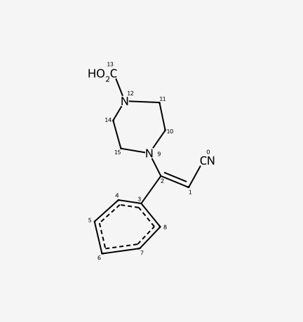 N#CC=C(c1ccccc1)N1CCN(C(=O)O)CC1